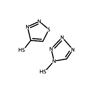 Sc1csnn1.Sn1cnnn1